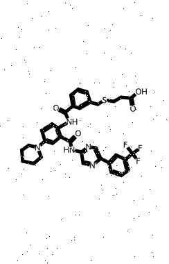 O=C(O)CCSCc1cccc(C(=O)Nc2ccc(N3CCCCC3)cc2C(=O)Nc2cnc(-c3cccc(C(F)(F)F)c3)cn2)c1